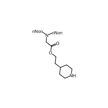 CCCCCCCCCN(CCCCCCCCC)CC(=O)OCCC1CCNCC1